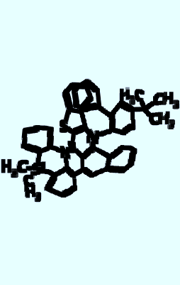 CC(C)(C)c1ccc(N2c3c4c(cc5ccccc35)-c3cccc5c3N(B4c3sc4ccccc4c32)c2ccccc2[Si]5(C)C)c(-c2ccccc2)c1